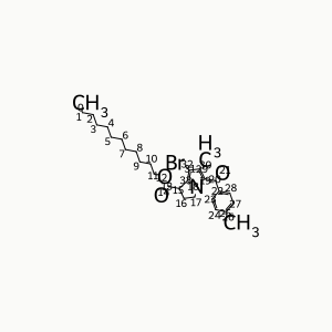 CCCCCCCCCCCCOC(=O)C1CCn2c(C(=O)c3ccc(C)cc3)c(C)c(Br)c21